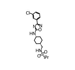 CC(C)S(=O)(=O)NC[C@H]1CC[C@H](Nc2nc(-c3cccc(Cl)c3)no2)CC1